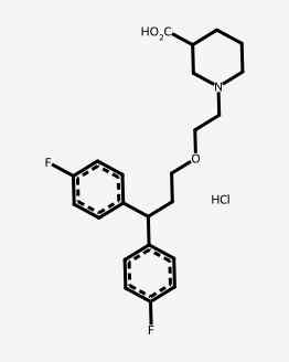 Cl.O=C(O)C1CCCN(CCOCCC(c2ccc(F)cc2)c2ccc(F)cc2)C1